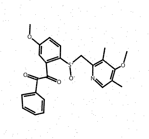 COc1ccc([S+]([O-])Cc2ncc(C)c(OC)c2C)c(C(=O)C(=O)c2ccccc2)c1